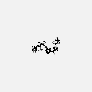 CC[C@H](C(=O)OCc1cccc([C@H](C)c2cn(C(=O)OC(C)(C)C)cn2)c1C)[C@H](CO)Cc1cncn1C